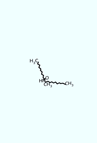 CCCCCCCCCCCC(=O)NC(C)CCCCCCCCCCC